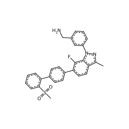 Cc1nn(-c2cccc(CN)c2)c2c(F)c(-c3ccc(-c4ccccc4S(C)(=O)=O)cc3)ccc12